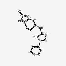 O=c1[nH]c2ccc(Nc3ncc(-c4ccccc4)o3)cc2s1